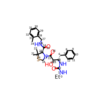 CCNC(=O)N[C@@H](Cc1ccccc1)[C@H](O)C(=O)N1CSC(C)(C)[C@H]1C(=O)NCc1ccccc1C